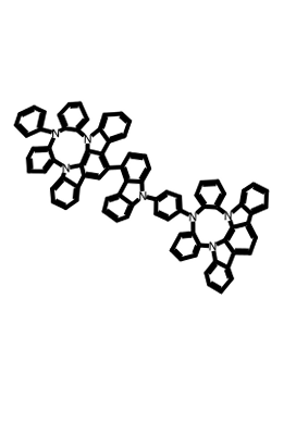 c1ccc(-n2c3ccccc3n3c4ccccc4c4cc(-c5cccc6c5c5ccccc5n6-c5ccc(-n6c7ccccc7n7c8ccccc8c8ccc9c%10ccccc%10n(c%10ccccc%106)c9c87)cc5)c5c6ccccc6n(c6ccccc62)c5c43)cc1